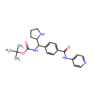 CC(C)(C)OC(=O)NC(c1ccc(C(=O)Nc2ccncc2)cc1)C1CCCN1